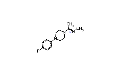 C/N=C(\C)N1CCN(c2ccc(F)cc2)CC1